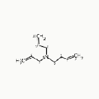 C=C[CH]CN(CC=C)CC=C